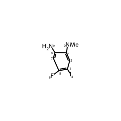 CNc1cc(I)c(F)cc1N